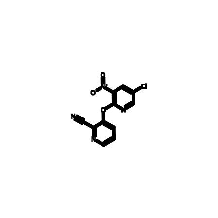 N#Cc1ncccc1Oc1ncc(Cl)cc1[N+](=O)[O-]